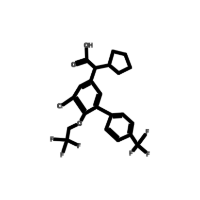 O=C(O)C(c1cc(Cl)c(OCC(F)(F)F)c(-c2ccc(C(F)(F)F)cc2)c1)C1CCCC1